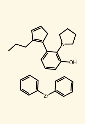 CCCC1=C(c2cccc(O)c2N2CCCC2)CC=C1.c1cc[c]([Zr][c]2ccccc2)cc1